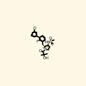 CC(C)(O)C(=O)N1CC[C@H](NS(C)(=O)=O)[C@@H]1Cc1cccc(-c2cccc(Cl)c2)c1F